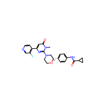 Cn1c(N2CCO[C@@H](c3ccc(NC(=O)C4CC4)cc3)C2)nc(-c2ccncc2F)cc1=O